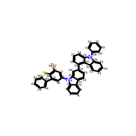 Brc1cc(-n2c3ccccc3c3ccc(-c4cccc5c4c4ccccc4n5-c4ccccc4)cc32)cc2c1sc1ccccc12